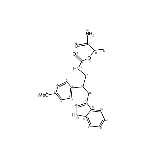 COc1ccc(C(CNC(=O)OC(C)C(N)=O)Cc2c[nH]c3ccccc23)cc1